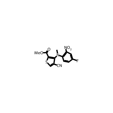 COC(=O)c1scc(C#N)c1N(C)c1ccc(F)cc1[N+](=O)[O-]